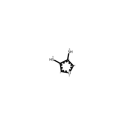 Sc1cocc1S